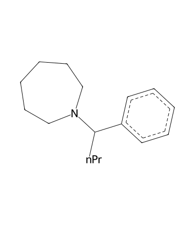 CCCC(c1ccccc1)N1CCCCCC1